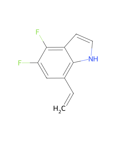 C=Cc1cc(F)c(F)c2cc[nH]c12